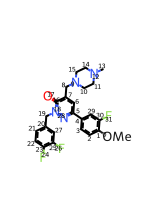 COc1ccc(-c2cc(CN3CCN(C)CC3)c(=O)n(Cc3ccc(F)c(F)c3)n2)cc1F